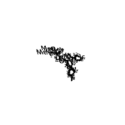 CN[C@@H](C)C(=O)N[C@H](C(=O)N1CCC[C@H]1CN(CCc1ccc(F)cc1)C(=O)c1cn(-c2ccc(F)cc2)cn1)[C@@H](C)OC